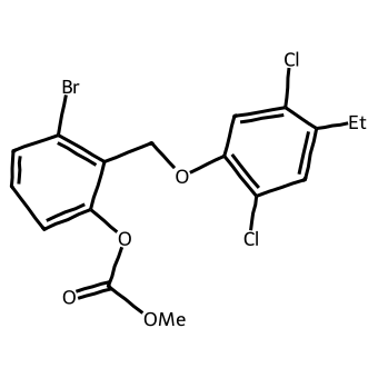 CCc1cc(Cl)c(OCc2c(Br)cccc2OC(=O)OC)cc1Cl